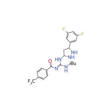 CCC(C)N/C(=N/C(=O)c1ccc(C(F)(F)F)cc1)NC1CC(c2cc(F)cc(F)c2)NN1